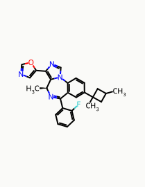 CC1CC(C)(c2ccc3c(c2)C(c2ccccc2F)=N[C@@H](C)c2c(-c4cnco4)ncn2-3)C1